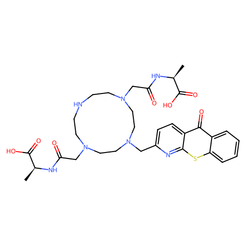 C[C@H](NC(=O)CN1CCNCCN(CC(=O)N[C@@H](C)C(=O)O)CCN(Cc2ccc3c(=O)c4ccccc4sc3n2)CC1)C(=O)O